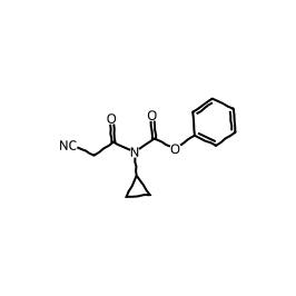 N#CCC(=O)N(C(=O)Oc1ccccc1)C1CC1